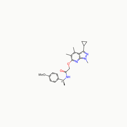 COc1ccc([C@H](C)NC(=O)COc2nc3c(c(C4CC4)nn3C)c(C)c2C)cc1